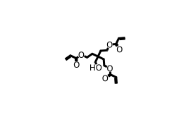 C=CC(=O)OCCC(CO)(CCOC(=O)C=C)CCOC(=O)C=C